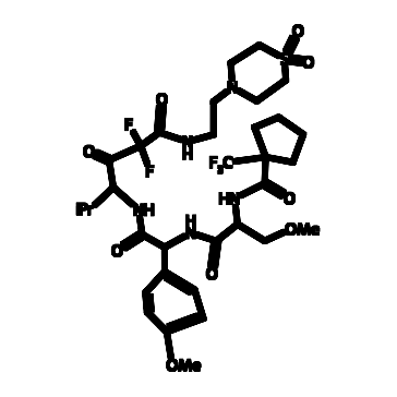 COCC(NC(=O)C1(C(F)(F)F)CCCC1)C(=O)NC(C(=O)NC(C(=O)C(F)(F)C(=O)NCCN1CCS(=O)(=O)CC1)C(C)C)c1ccc(OC)cc1